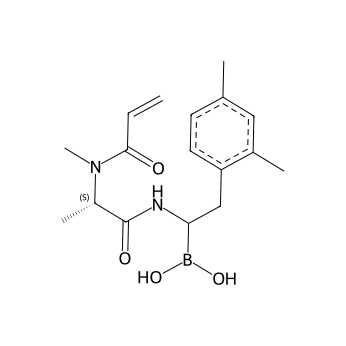 C=CC(=O)N(C)[C@@H](C)C(=O)NC(Cc1ccc(C)cc1C)B(O)O